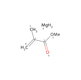 C=C(C)C(=O)OC.[MgH2]